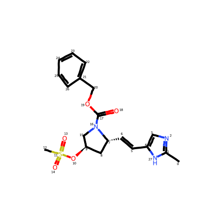 Cc1ncc(C=C[C@@H]2C[C@@H](OS(C)(=O)=O)CN2C(=O)OCc2ccccc2)[nH]1